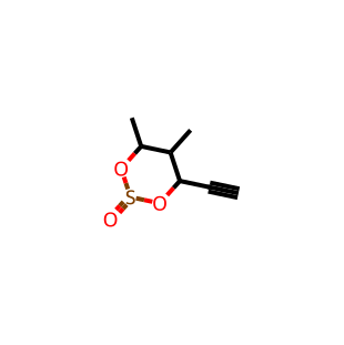 C#CC1OS(=O)OC(C)C1C